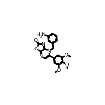 COc1cc(C2=CN=C3[N]C(=O)N=C3N2Cc2cccc(N)c2)cc(OC)c1OC